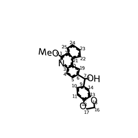 COc1nc2ccc(C(O)c3ccc4c(c3)OCCO4)cc2c2ccccc12